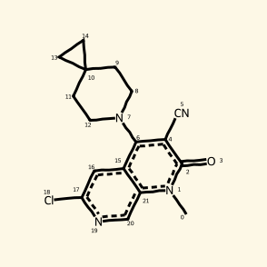 Cn1c(=O)c(C#N)c(N2CCC3(CC2)CC3)c2cc(Cl)ncc21